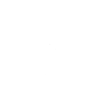 Bc1cccc(C(O)(I)c2ccccc2)c1